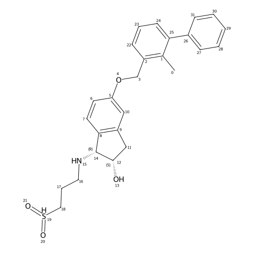 Cc1c(COc2ccc3c(c2)C[C@H](O)[C@@H]3NCCC[SH](=O)=O)cccc1-c1ccccc1